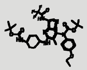 CCOc1ccc(N(C(=O)OC(C)(C)C)c2c(C)c(NC3CCC(NC(=O)OC(C)(C)C)CC3)nc3c(NC(=O)C(F)(F)F)cnn23)cc1